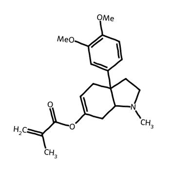 C=C(C)C(=O)OC1=CCC2(c3ccc(OC)c(OC)c3)CCN(C)C2C1